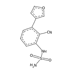 N#Cc1c(NS(N)(=O)=O)cccc1-c1ccoc1